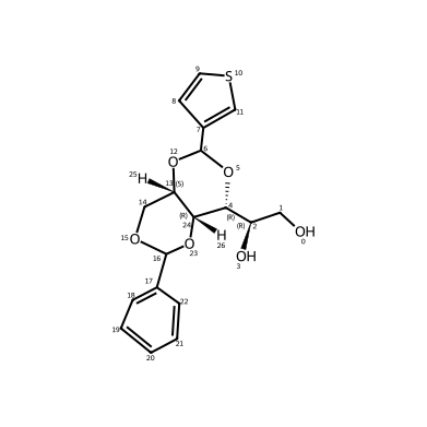 OC[C@@H](O)[C@H]1OC(c2ccsc2)O[C@H]2COC(c3ccccc3)O[C@@H]12